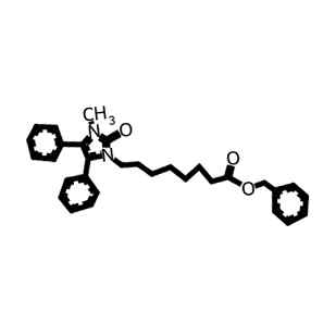 Cn1c(-c2ccccc2)c(-c2ccccc2)n(CCCCCCCC(=O)OCc2ccccc2)c1=O